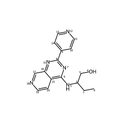 CCC(CO)Nc1nc(-c2ccncc2)nc2cnccc12